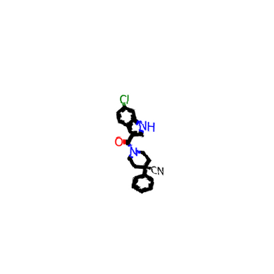 N#CC1(c2ccccc2)CCN(C(=O)c2c[nH]c3cc(Cl)ccc23)CC1